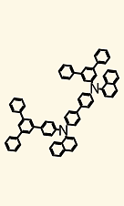 c1ccc(-c2cc(-c3ccccc3)cc(-c3ccc(N(c4ccc(-c5ccc(N(c6cc(-c7ccccc7)cc(-c7ccccc7)c6)c6cccc7ccccc67)cc5)cc4)c4cccc5ccccc45)cc3)c2)cc1